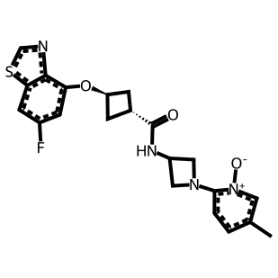 Cc1ccc(N2CC(NC(=O)[C@H]3C[C@H](Oc4cc(F)cc5scnc45)C3)C2)[n+]([O-])c1